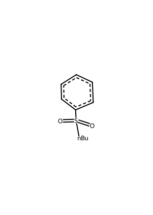 [CH2]CCCS(=O)(=O)c1ccccc1